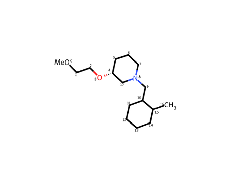 COCCO[C@@H]1CCCN(CC2CCCCC2C)C1